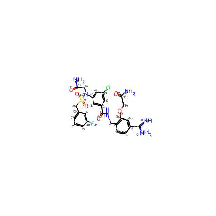 N=C(N)c1ccc(CNC(=O)c2cc(Cl)cc(N(CC(N)=O)S(=O)(=O)Cc3cccc(F)c3)c2)c(OCC(N)=O)c1